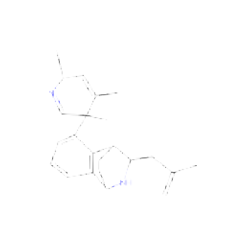 C=C(C)CC1NC2CCC1c1c2cccc1C1(C)C=NC(C)C=C1C